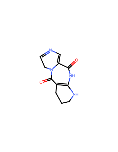 O=C1NC2=C(CCCN2)C(=O)N2CC=NC=C12